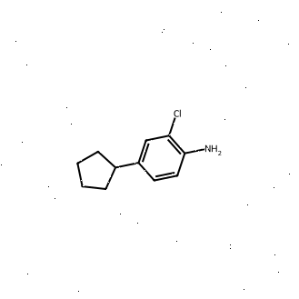 Nc1ccc(C2CCCC2)cc1Cl